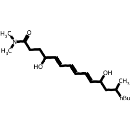 CCCCC(C)CC(O)/C=C/C=C/C=C/C(O)CCC(=O)N(C)C